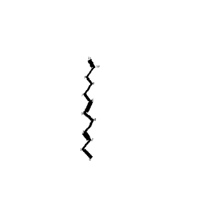 C=CC=CCC=CCCCC=C